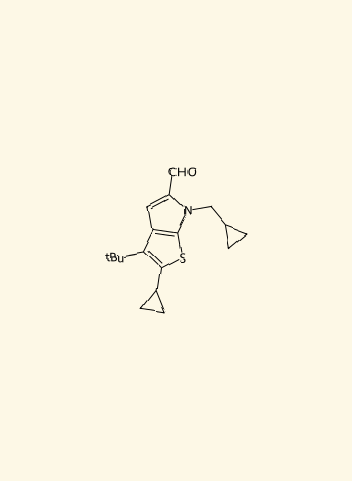 CC(C)(C)c1c(C2CC2)sc2c1cc(C=O)n2CC1CC1